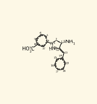 NC1CN(c2cccc(C(=O)O)c2)NC1=Cc1ccccc1